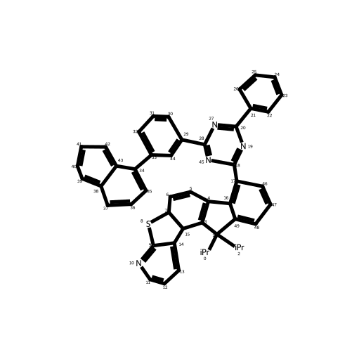 CC(C)C1(C(C)C)C2=C(C=CC3Sc4ncccc4C23)c2c(-c3nc(-c4ccccc4)nc(-c4cccc(-c5cccc6ccccc56)c4)n3)cccc21